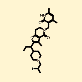 CCC(c1sc2c(c1C)C(=O)N(Cc1c(C)cc(C)[nH]c1=O)CC2)C1CCN(CC(C)F)CC1